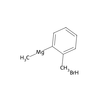 Br.[CH3][Mg][c]1ccccc1C